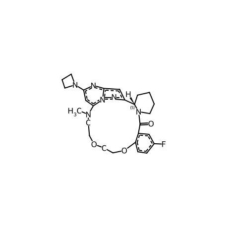 CN1CCOCCOc2ccc(F)cc2C(=O)N2CCCC[C@H]2c2cc3nc(N4CCC4)cc1n3n2